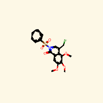 COc1cc2c(=O)n(S(=O)(=O)c3ccccc3)cc(CBr)c2c(OC)c1OC